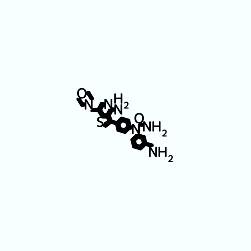 NCc1cccc(N(C(N)=O)c2ccc(-c3csc4c(CN5CCOCC5)cnc(N)c34)cc2)c1